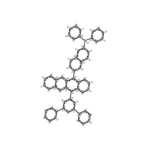 c1ccc(-c2cc(-c3ccccc3)cc(-c3c4ccccc4c(-c4ccc5cc(N(c6ccccc6)c6ccccc6)ccc5c4)c4cc5ccccc5cc34)c2)cc1